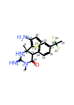 CN1C(=N)N[C@](C)(c2sccc2N)C(c2ccc(C(C)(F)F)cc2)C1=O